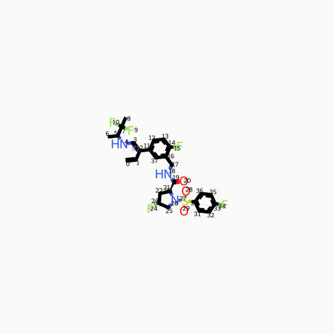 C=C/C(=C\NC(C)C(C)(F)F)c1ccc(F)c(CNC(=O)[C@@H]2C[C@@H](F)CN2S(=O)(=O)c2ccc(F)cc2)c1